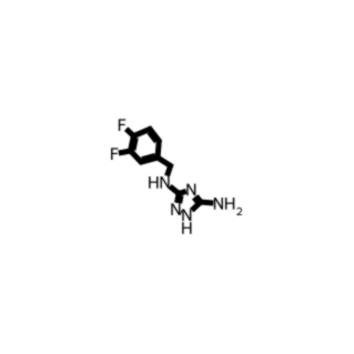 Nc1nc(NCc2ccc(F)c(F)c2)n[nH]1